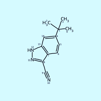 CC(C)(C)c1ccc2c(C#N)n[nH]c2c1